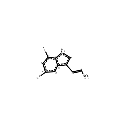 O=[N+]([O-])C=Cc1c[nH]c2c(F)cc(F)cc12